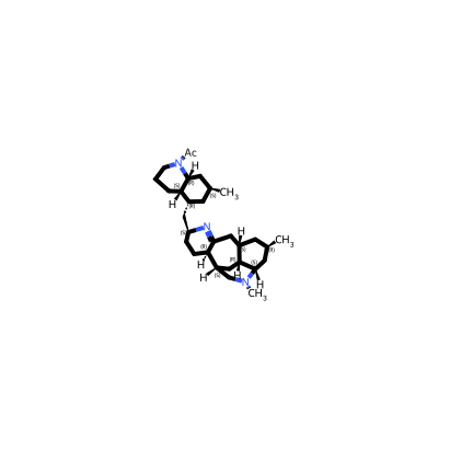 CC(=O)N1CCC[C@H]2[C@@H](C[C@@H]3CC[C@H]4C(=N3)C[C@@H]3C[C@@H](C)C[C@H]5[C@@H]3C[C@@H]4CN5C)C[C@H](C)C[C@H]21